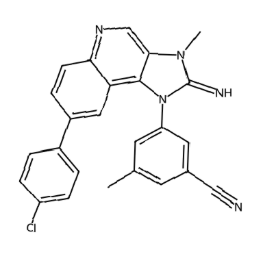 Cc1cc(C#N)cc(-n2c(=N)n(C)c3cnc4ccc(-c5ccc(Cl)cc5)cc4c32)c1